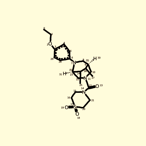 CCOc1ccc(N2C[C@H]3CN(C(=O)N4CCS(=O)(=O)CC4)C[C@@H]2C(C)C3C)cc1